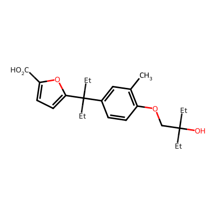 CCC(O)(CC)COc1ccc(C(CC)(CC)c2ccc(C(=O)O)o2)cc1C